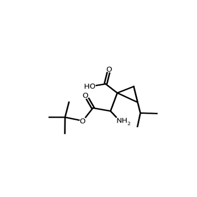 CC(C)C1CC1(C(=O)O)C(N)C(=O)OC(C)(C)C